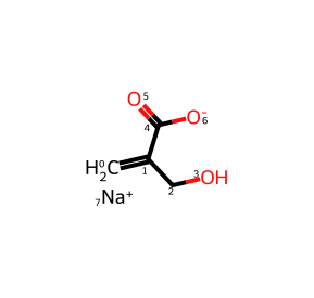 C=C(CO)C(=O)[O-].[Na+]